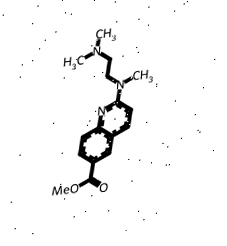 COC(=O)c1ccc2nc(N(C)CCN(C)C)ccc2c1